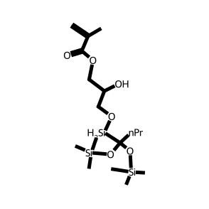 C=C(C)C(=O)OCC(O)CO[SiH2]C(CCC)(O[Si](C)(C)C)O[Si](C)(C)C